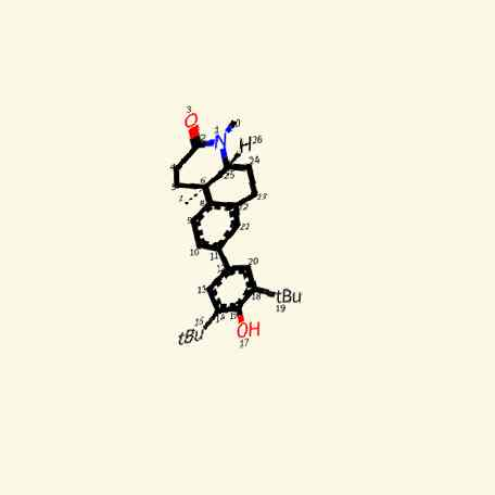 CN1C(=O)CC[C@]2(C)c3ccc(-c4cc(C(C)(C)C)c(O)c(C(C)(C)C)c4)cc3CC[C@@H]12